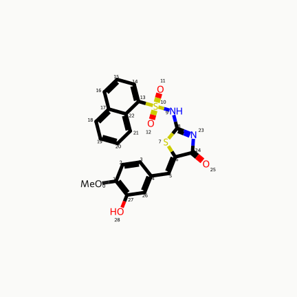 COc1ccc(/C=C2\SC(NS(=O)(=O)c3cccc4ccccc34)=NC2=O)cc1O